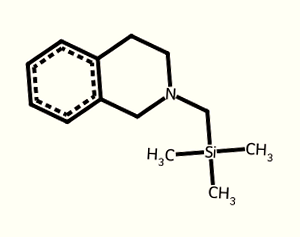 C[Si](C)(C)CN1CCc2ccccc2C1